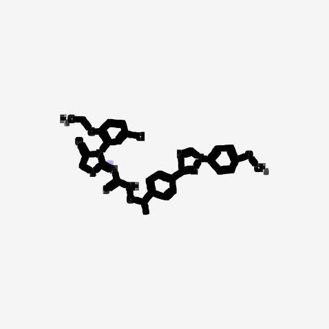 CC(ONC(=S)/N=C1\SCC(=O)N1c1cc(Cl)ccc1OCC(F)(F)F)c1ccc(-c2ncn(-c3ccc(OC(F)(F)F)cc3)n2)cc1